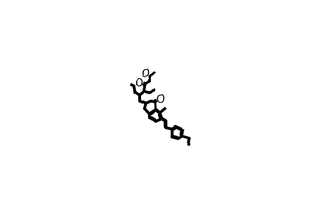 CCCC(CC1CC(=O)c2c(ccc(/C=C/c3ccc(CC)cc3)c2C)C1)C(CC)C(=O)CC(C)=O